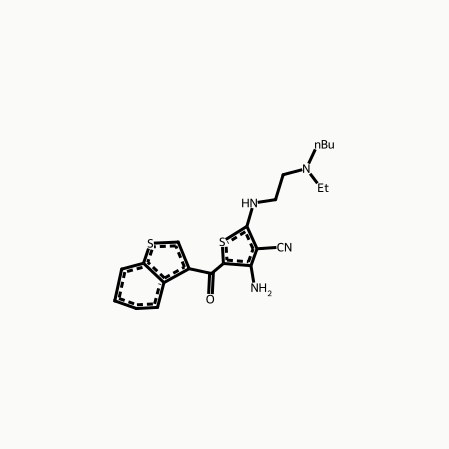 CCCCN(CC)CCNc1sc(C(=O)c2csc3ccccc23)c(N)c1C#N